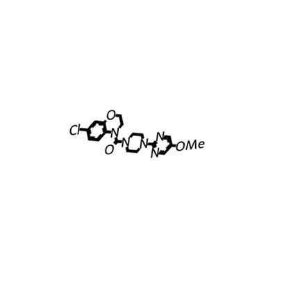 COc1cnc(N2CCN(C(=O)N3CCOc4cc(Cl)ccc43)CC2)nc1